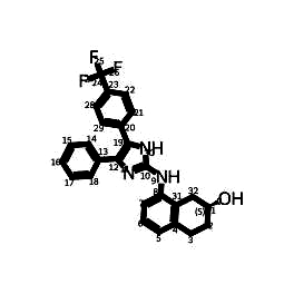 O[C@H]1CCc2cccc(Nc3nc(-c4ccccc4)c(-c4ccc(C(F)(F)F)cc4)[nH]3)c2C1